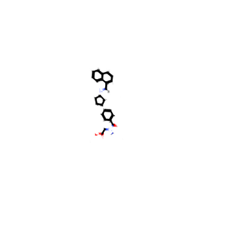 COC(=O)CN(C)C(=O)c1ccc([C@@H]2CC[C@H](N[C@H](C)c3cccc4ccccc34)C2)cc1